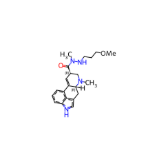 COCCCNN(C)C(=O)[C@@H]1C=C2c3cccc4[nH]cc(c34)C[C@H]2N(C)C1